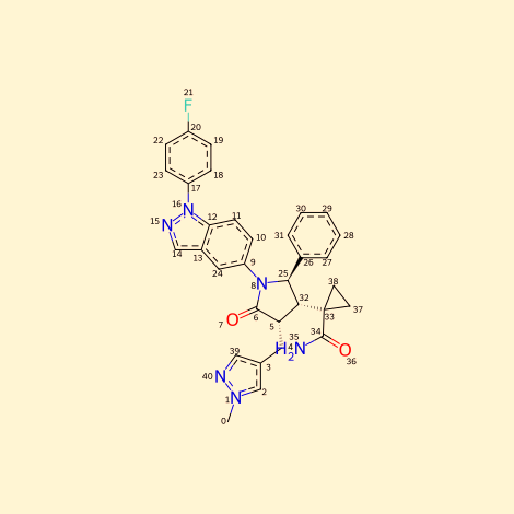 Cn1cc(C[C@@H]2C(=O)N(c3ccc4c(cnn4-c4ccc(F)cc4)c3)[C@@H](c3ccccc3)[C@@H]2C2(C(N)=O)CC2)cn1